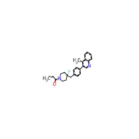 CCC(=O)N1CCC(F)(Cc2ccc(-c3cnc4ccccc4c3C)cc2)CC1